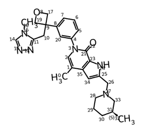 Cc1cn(-c2cccc(C3(Cc4nncn4C)COC3)c2)c(=O)c2[nH]c(CN3CCC[C@H](C)C3)cc12